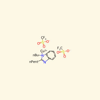 CCCCCC1=Nc2ccccc2[N+]1([Cu+2])CCCC.O=S(=O)([O-])C(F)(F)F.O=S(=O)([O-])C(F)(F)F